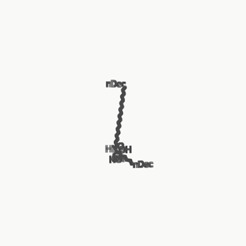 CCCCCCCCCCCCCCCCCCCCCCCCCCCCC(=O)N[C@H](CO)[C@H](O)C(O)CCCCCCCCCCCCCC